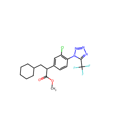 COC(=O)C(CC1CCCCC1)c1ccc(-n2nnnc2C(F)(F)F)c(Cl)c1